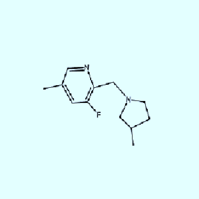 Cc1cnc(CN2CCC(C)C2)c(F)c1